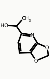 CC(O)c1ccc2c(n1)OCO2